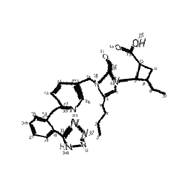 CCCCc1cn(C2C(CC)CC2C(=O)O)c(=O)n1Cc1ccc(-c2ccccc2-c2nnn[nH]2)nc1